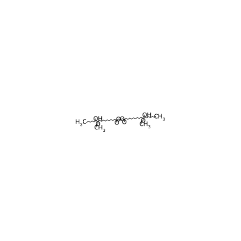 CCCCCCC(O)C(CCCCCCCCCC(=O)OCOC(=O)CCCCCCCCCC(OCC)C(O)CCCCCC)OCC